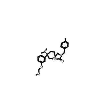 COCOc1cccc([C@]2(N(C)C)CC[C@@]3(CC2)CN(Cc2ccc(C)cc2)C(=O)N3)c1